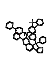 CC1(C)c2ccccc2-c2ccc(N(c3ccc(-c4ccccc4)cc3)c3cc4c5c(ccc4cc3-c3ccccc3)-c3ccccc3C5(c3ccccc3)c3ccccc3)cc21